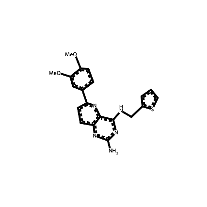 COc1ccc(-c2ccc3nc(N)nc(NCc4cccs4)c3n2)cc1OC